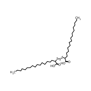 CCCCCCCCCCCCCCCCC(SSSC(CCCCCCCCCCCCCCCC)C(=O)O)C(=O)O